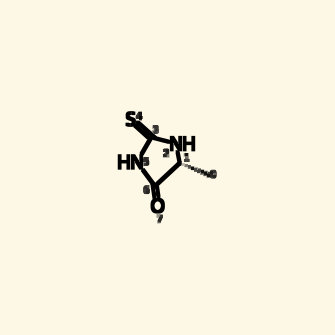 C[C@H]1NC(=S)NC1=O